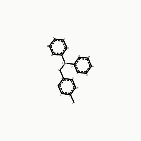 Cc1ccc(CN(c2ccccc2)c2ccccc2)cc1